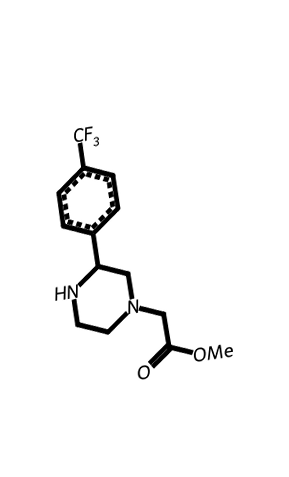 COC(=O)CN1CCNC(c2ccc(C(F)(F)F)cc2)C1